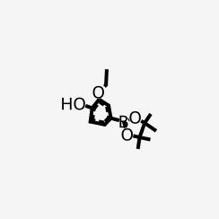 CCOc1cc(B2OC(C)(C)C(C)(C)O2)ccc1O